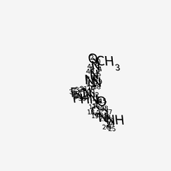 CC(=O)N1CCN(c2ncc(C(CNC(=O)c3cccc4nc(NC5CC5)ccc34)N3CCC(F)(F)CC3)cn2)CC1